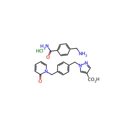 Cl.NCc1ccc(C(N)=O)cc1.O=C(O)c1cnn(Cc2ccc(Cn3ccccc3=O)cc2)c1